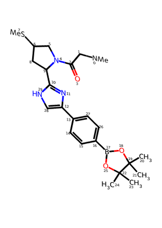 CNCC(=O)N1CC(SC)CC1c1nc(-c2ccc(B3OC(C)(C)C(C)(C)O3)cc2)c[nH]1